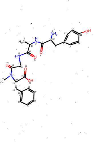 C[C@@H](NC(=O)[C@@H](N)Cc1ccc(O)cc1)C(=O)NCC(=O)N(C)[C@@H](Cc1ccccc1)C(=O)O